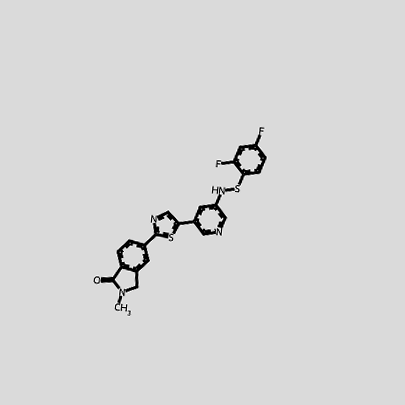 CN1Cc2cc(-c3ncc(-c4cncc(NSc5ccc(F)cc5F)c4)s3)ccc2C1=O